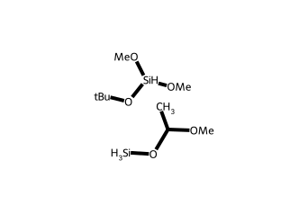 COC(C)O[SiH3].CO[SiH](OC)OC(C)(C)C